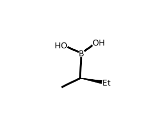 CC[C@@H](C)B(O)O